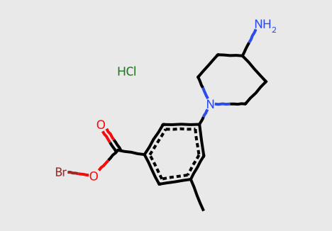 Cc1cc(C(=O)OBr)cc(N2CCC(N)CC2)c1.Cl